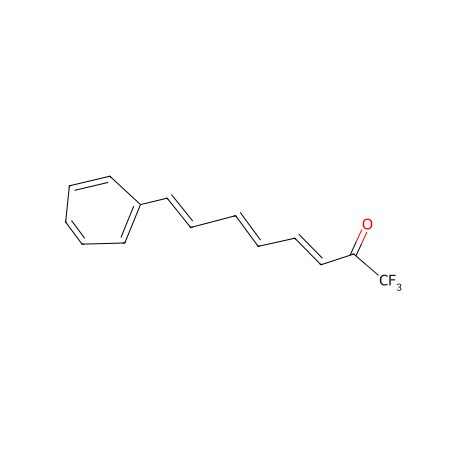 O=C(/C=C/C=C/C=C/c1ccccc1)C(F)(F)F